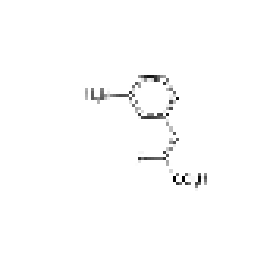 Nc1cccc(C=C(F)C(=O)O)c1